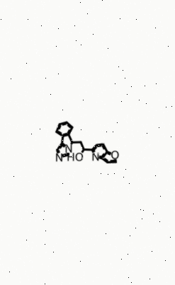 OC(CC1c2ccccc2-c2cncn21)c1ccc2occc2n1